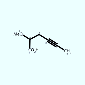 CC#CCC(OC)C(=O)O